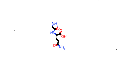 NCC(=O)N[C@@H](CCC(N)=O)C(=O)O